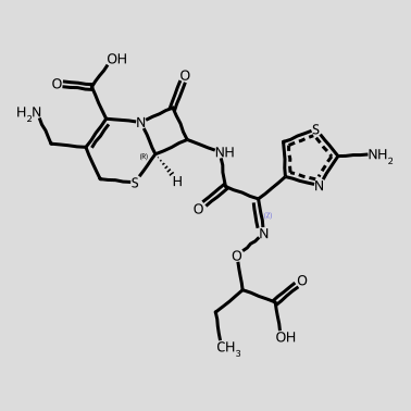 CCC(O/N=C(\C(=O)NC1C(=O)N2C(C(=O)O)=C(CN)CS[C@H]12)c1csc(N)n1)C(=O)O